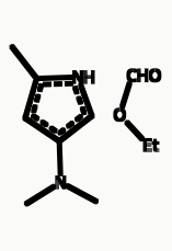 CCOC=O.Cc1cc(N(C)C)c[nH]1